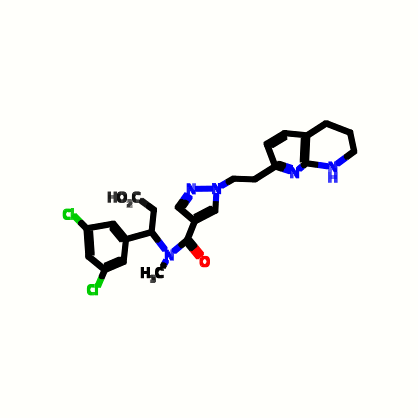 CN(C(=O)c1cnn(CCc2ccc3c(n2)NCCC3)c1)C(CC(=O)O)c1cc(Cl)cc(Cl)c1